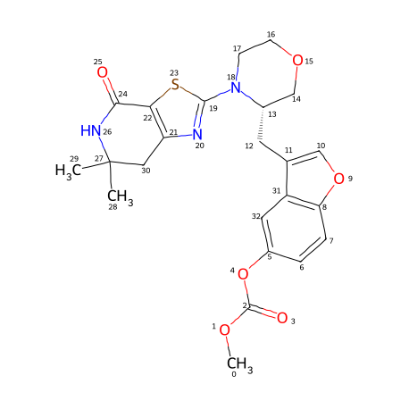 COC(=O)Oc1ccc2occ(C[C@H]3COCCN3c3nc4c(s3)C(=O)NC(C)(C)C4)c2c1